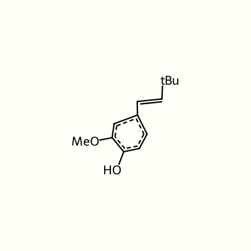 COc1cc(/C=C/C(C)(C)C)ccc1O